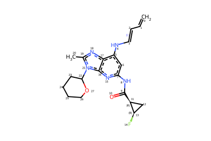 C=C/C=C/Nc1cc(NC(=O)[C@H]2C[C@H]2F)nc2c1nc(C)n2C1CCCCO1